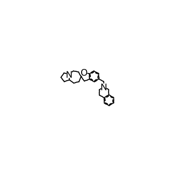 c1ccc2c(c1)CCN(Cc1ccc3c(c1)CC1(CCC4CCCN4CC1)O3)C2